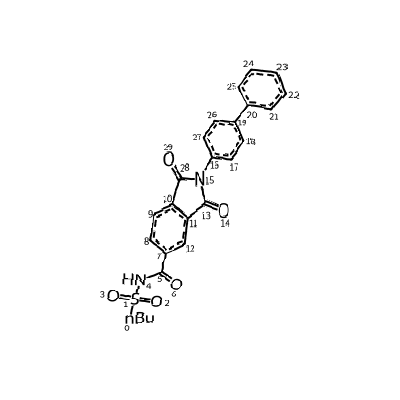 CCCCS(=O)(=O)NC(=O)c1ccc2c(c1)C(=O)N(c1ccc(-c3ccccc3)cc1)C2=O